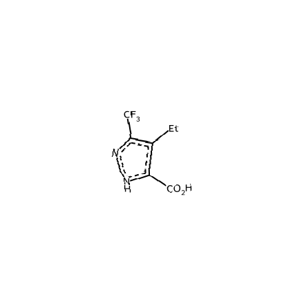 CCc1c(C(F)(F)F)n[nH]c1C(=O)O